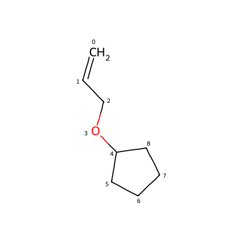 C=CCOC1CCCC1